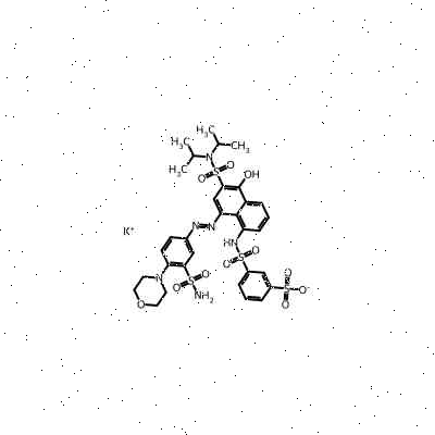 CC(C)N(C(C)C)S(=O)(=O)c1cc(N=Nc2ccc(N3CCOCC3)c(S(N)(=O)=O)c2)c2c(NS(=O)(=O)c3cccc(S(=O)(=O)[O-])c3)cccc2c1O.[K+]